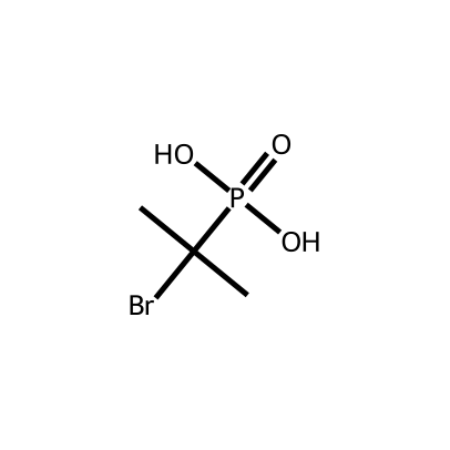 CC(C)(Br)P(=O)(O)O